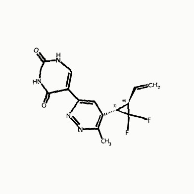 C=C[C@@H]1[C@@H](c2cc(-c3c[nH]c(=O)[nH]c3=O)nnc2C)C1(F)F